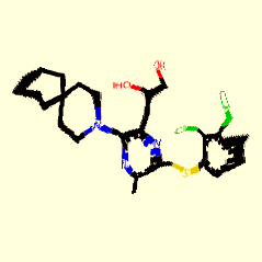 Cc1nc(N2CCC3(CCCC3)CC2)c(C(O)CO)nc1Sc1cccc(Cl)c1Cl